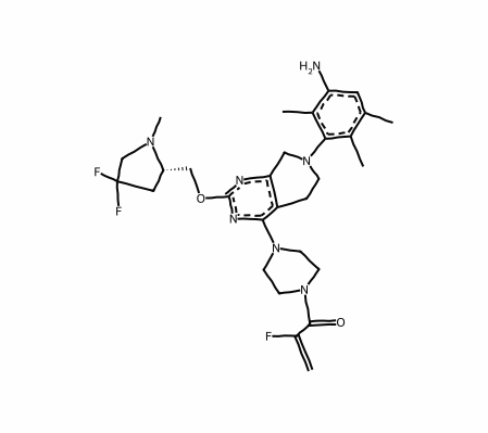 C=C(F)C(=O)N1CCN(c2nc(OC[C@@H]3CC(F)(F)CN3C)nc3c2CCN(c2c(C)c(C)cc(N)c2C)C3)CC1